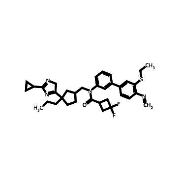 C=Nc1ccc(-c2cccc(N(CC3CCC(CCC)(C4=NC(C5CC5)=NC4)C3)C(=O)C3CC(F)(F)C3)c2)cc1SCC